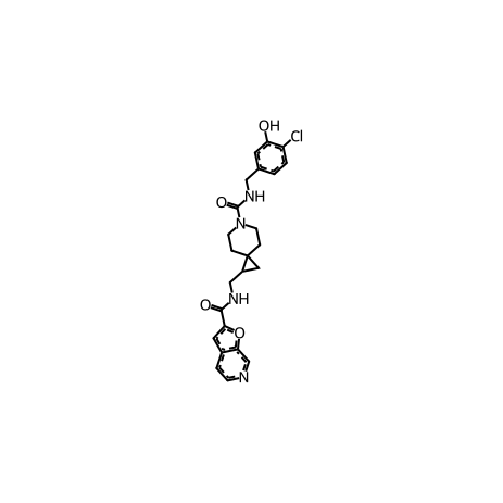 O=C(NCC1CC12CCN(C(=O)NCc1ccc(Cl)c(O)c1)CC2)c1cc2ccncc2o1